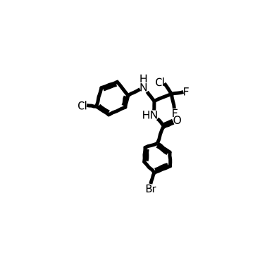 O=C(NC(Nc1ccc(Cl)cc1)C(F)(F)Cl)c1ccc(Br)cc1